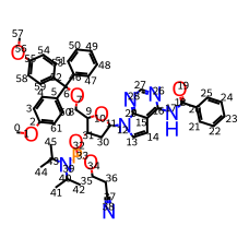 COc1ccc(C(OCC2O[C@@H](n3ccc4c(NC(=O)c5ccccc5)ncnc43)C[C@@H]2OP(OCCC#N)N(C(C)C)C(C)C)(c2ccccc2)c2ccc(OC)cc2)cc1